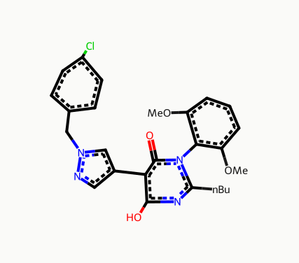 CCCCc1nc(O)c(-c2cnn(Cc3ccc(Cl)cc3)c2)c(=O)n1-c1c(OC)cccc1OC